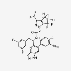 N#Cc1cc(-c2cc3[nH]ncc3nc2C(Cc2cc(F)cc(F)c2)NC(=O)Cn2nc(C(F)F)c3c2C(F)(F)[C@@H]2C[C@H]32)ccc1Cl